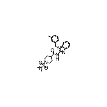 Cc1cccc(Cn2c(NC(=O)C3CCN(S(=O)(=O)N(C)C)CC3)nc3ccccc32)c1